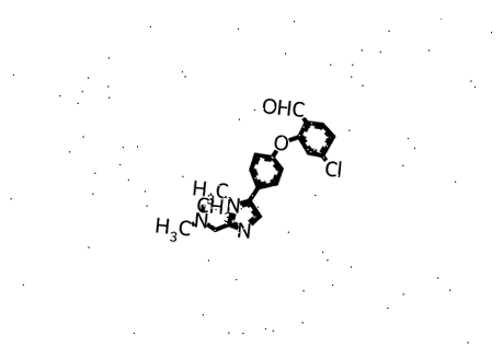 CN(C)Cc1ncc(-c2ccc(Oc3cc(Cl)ccc3C=O)cc2)n1C